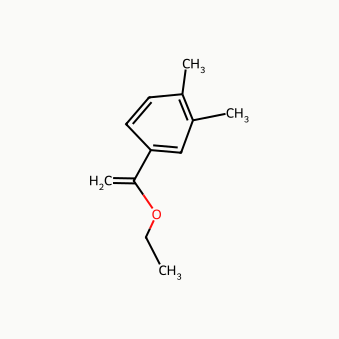 C=C(OCC)c1ccc(C)c(C)c1